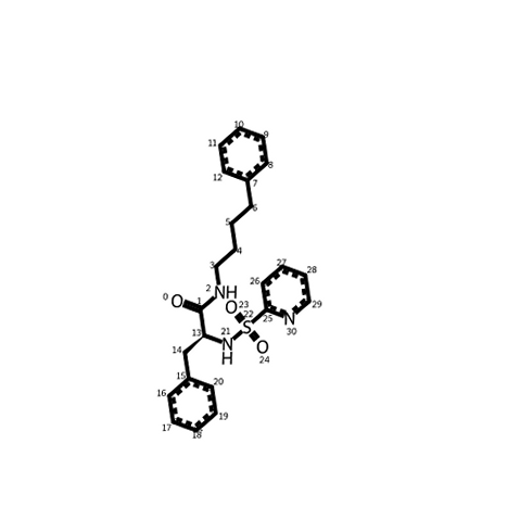 O=C(NCCCCc1ccccc1)[C@H](Cc1cc[c]cc1)NS(=O)(=O)c1ccccn1